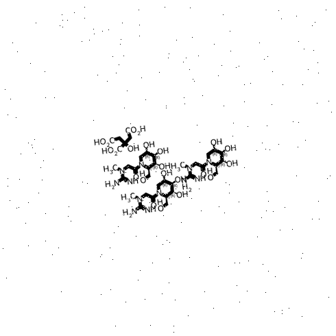 CN(CC(=O)N1C[C@@H](O)[C@@H](O)[C@H](O)[C@H]1CO)C(=N)N.CN(CC(=O)N1C[C@@H](O)[C@@H](O)[C@H](O)[C@H]1CO)C(=N)N.CN(CC(=O)N1C[C@@H](O)[C@@H](O)[C@H](O)[C@H]1CO)C(=N)N.O=C(O)CC(O)(CC(=O)O)C(=O)O